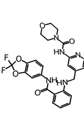 O=C(Nc1ccc2c(c1)OC(F)(F)O2)c1ccccc1NCc1ccnc(NC(=O)N2CCOCC2)c1